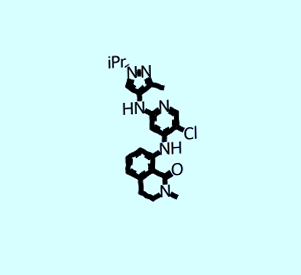 Cc1nn(C(C)C)cc1Nc1cc(Nc2cccc3c2C(=O)N(C)CC3)c(Cl)cn1